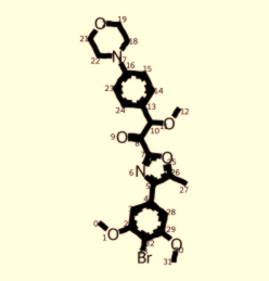 COc1cc(-c2nc(C(=O)C(OC)c3ccc(N4CCOCC4)cc3)oc2C)cc(OC)c1Br